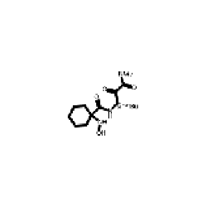 CCCC[C@H](NC(=O)C1(NO)CCCCC1)C(=O)C(=O)NC